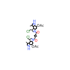 CC(=O)Oc1cc2c(c3c(C)c[nH]c13)C(CCl)CN2C(=O)C12CC(C(=O)N3CC(CCl)c4c3cc(OC(C)=O)c3[nH]cc(C)c43)(C1)C2